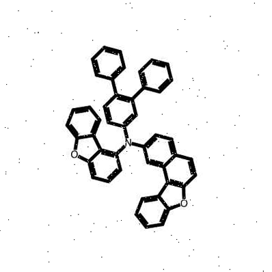 c1ccc(-c2ccc(N(c3ccc4ccc5oc6ccccc6c5c4c3)c3cccc4oc5ccccc5c34)cc2-c2ccccc2)cc1